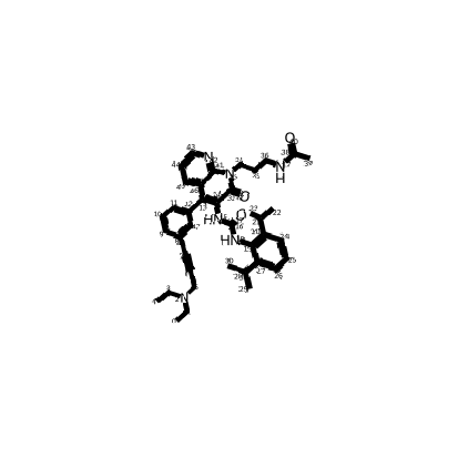 CCN(CC)CC#Cc1cccc(-c2c(NC(=O)Nc3c(C(C)C)cccc3C(C)C)c(=O)n(CCCNC(C)=O)c3ncccc23)c1